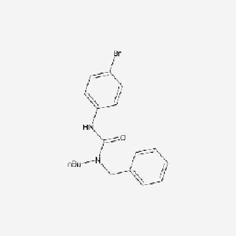 CCCCN(Cc1ccccc1)C(=O)Nc1ccc(Br)cc1